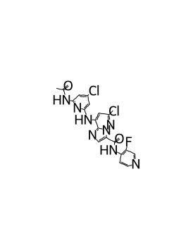 CC(=O)Nc1cc(Cl)cc(Nc2cc(Cl)nn3c(C(=O)Nc4ccncc4F)cnc23)n1